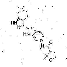 CN(C(=O)C1CCOC1(C)C)c1ccc2cc(-c3n[nH]c4c3CCC(C)(C)C4)[nH]c2c1